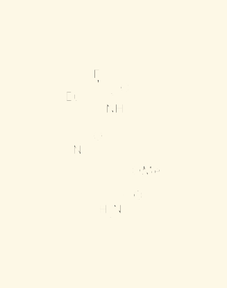 CCC1C(COc2nccc3cc(C(N)=O)c(OC)cc23)NC(=O)[C@@H]1F